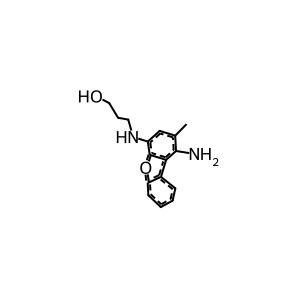 Cc1cc(NCCCO)c2oc3ccccc3c2c1N